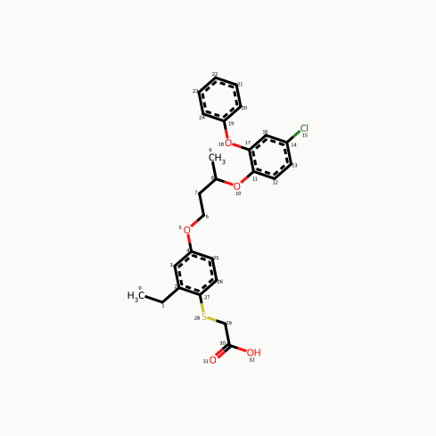 CCc1cc(OCCC(C)Oc2ccc(Cl)cc2Oc2ccccc2)ccc1SCC(=O)O